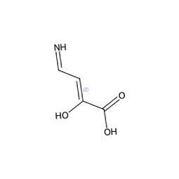 N=C/C=C(\O)C(=O)O